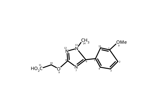 COc1cccc(-c2nc(OCC(=O)O)nn2C)c1